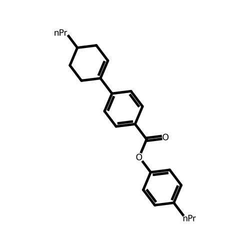 CCCc1ccc(OC(=O)c2ccc(C3=CCC(CCC)CC3)cc2)cc1